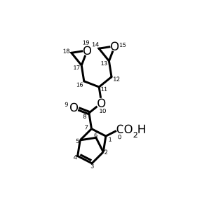 O=C(O)C1C2C=CC(C2)C1C(=O)OC(CC1CO1)CC1CO1